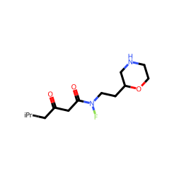 CC(C)CC(=O)CC(=O)N(F)CCC1CNCCO1